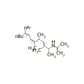 C=C(C)NC(C)/C(C)=C/C(C)/C(C)=C\C=C(\CCC)CCCC